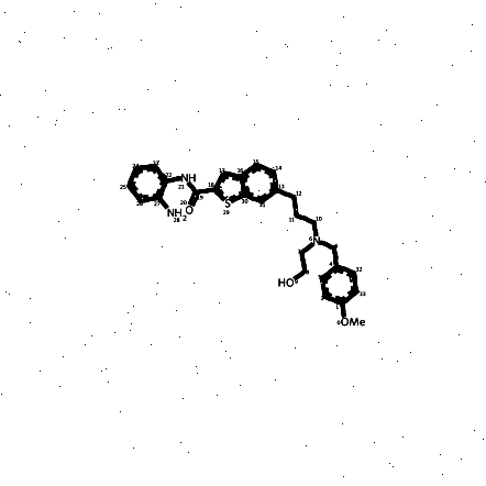 COc1ccc(CN(CCO)CCCc2ccc3cc(C(=O)Nc4ccccc4N)sc3c2)cc1